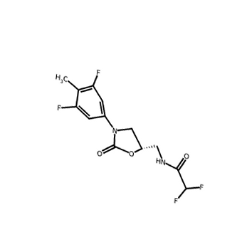 Cc1c(F)cc(N2C[C@H](CNC(=O)C(F)F)OC2=O)cc1F